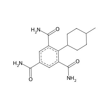 CC1CCC(c2c(C(N)=O)cc(C(N)=O)cc2C(N)=O)CC1